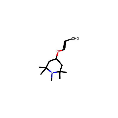 CN1C(C)(C)CC(OC=CC=O)CC1(C)C